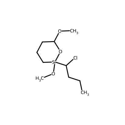 CCCC(Cl)[Si]1(OC)CCCC(OC)O1